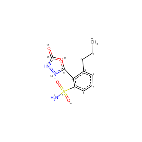 CCCc1cccc(S(N)(=O)=O)c1-c1n[nH]c(=O)o1